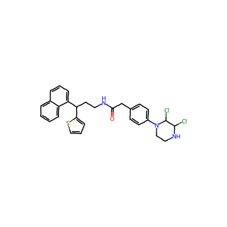 O=C(Cc1ccc(N2CCNC(Cl)C2Cl)cc1)NCCC(c1cccs1)c1cccc2ccccc12